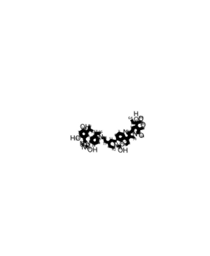 CCc1c2c(nc3ccc([C@@H]4CC(CCn5ccc6cc(-n7c(O)nnc7-c7cc(C(C)C)c(O)cc7O)ccc65)CCN4C(=O)O)cc13)-c1cc3c(c(=O)n1C2)COC(=O)C3(O)CC